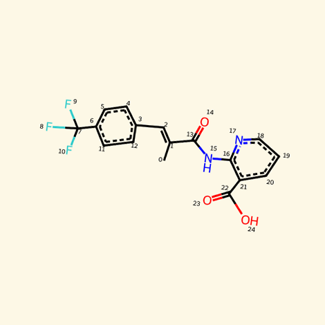 C/C(=C\c1ccc(C(F)(F)F)cc1)C(=O)Nc1ncccc1C(=O)O